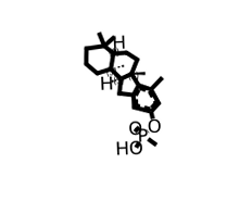 Cc1cc(OP(C)(=O)O)cc2c1[C@@]1(C)CC[C@H]3C(C)(C)CCC[C@]3(C)[C@@H]1C2